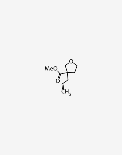 C=CCC1(C(=O)OC)CCOC1